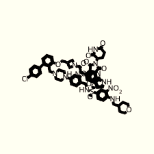 NC(C(=O)N1CC(COc2cccc(-c3ccc(Cl)cc3)c2CN2CCN(c3ccc(C(=O)NS(=O)(=O)c4ccc(NCC5CCOCC5)c([N+](=O)[O-])c4)c(Oc4cnc5[nH]ccc5c4)c3)CC2)C1)c1cccc2c1C(=O)N(C1CCC(=O)NC1=O)C2=O